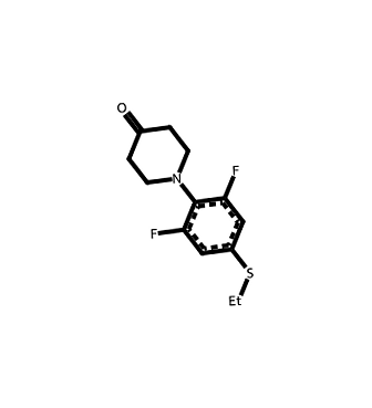 CCSc1cc(F)c(N2CCC(=O)CC2)c(F)c1